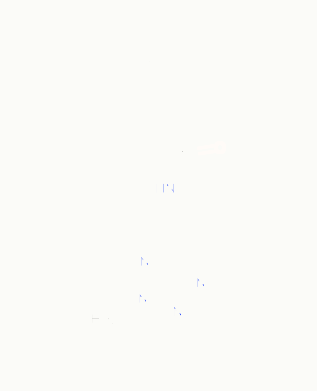 Cn1nnc(CNC(=O)C2CCCCC2)n1